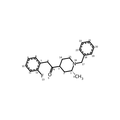 C[C@@H]1CC(C(=O)Cc2ccccc2F)CCN1Cc1ccccc1